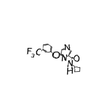 O=C(NC1CCC1)c1cncc(Oc2cccc(C(F)(F)F)c2)n1